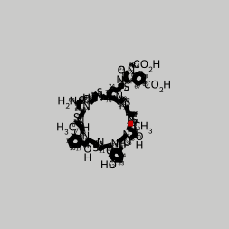 Cc1sc2nc1C(=O)N[C@@H]([C@H](O)c1ccccc1)c1nc(cs1)C(=O)N[C@@H](Cc1ccc(O)cc1)C(=O)N1C[C@H](O)[C@H](C)[C@H]1c1nc(cs1)-c1nc(cs1)-c1nc(-c3nc(C(=O)N(CC(=O)O)[C@H]4CC[C@H](C(=O)O)CC4)cs3)ccc1-c1nc(cs1)C(=O)N[C@H]2CC(N)=O